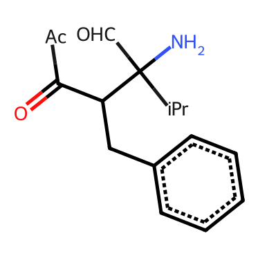 [CH2]C(C)C(N)(C=O)C(Cc1ccccc1)C(=O)C(C)=O